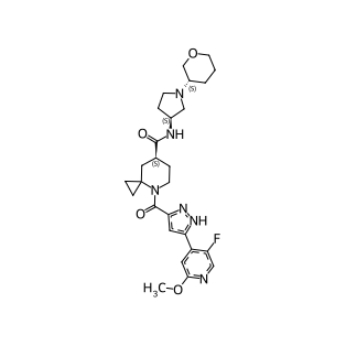 COc1cc(-c2cc(C(=O)N3CC[C@H](C(=O)N[C@H]4CCN([C@H]5CCCOC5)C4)CC34CC4)n[nH]2)c(F)cn1